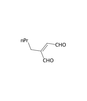 CCCC/C(C=O)=C/C=O